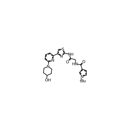 CC(C)(C)n1ccc(C(=O)NCC(=O)Nc2nc(-c3cccc(N4CCC(O)CC4)n3)cs2)c1